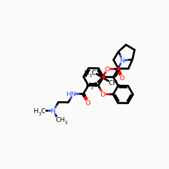 CN(C)CCNC(=O)c1cccc2c1Oc1ccccc1C2=C1CC2CCC(C1)N2C(=O)OC(C)(C)C